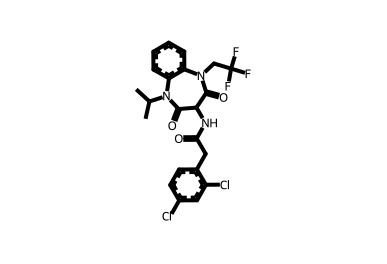 CC(C)N1C(=O)C(NC(=O)Cc2ccc(Cl)cc2Cl)C(=O)N(CC(F)(F)F)c2ccccc21